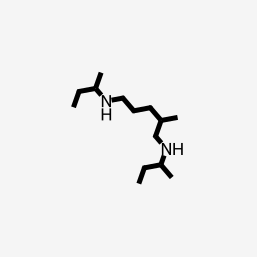 CCC(C)NCCCC(C)CNC(C)CC